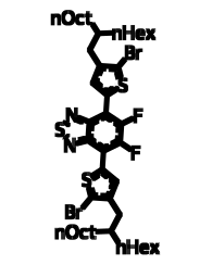 CCCCCCCCC(CCCCCC)Cc1cc(-c2c(F)c(F)c(-c3cc(CC(CCCCCC)CCCCCCCC)c(Br)s3)c3nsnc23)sc1Br